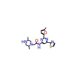 Cc1ccc(-c2nc(NC(=O)CN3CC(C)NCC3C)cc(-c3nccs3)n2)o1